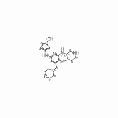 Cc1cnc(Nc2cc(CN3CCOCC3)c(F)c(N[C@H]3CCCNC3)n2)s1